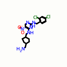 NCC1CCC(CNc2nc(NCc3ccc(Cl)cc3Cl)ncc2[N+](=O)[O-])CC1